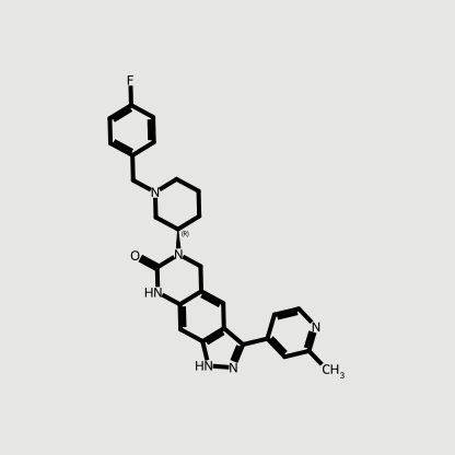 Cc1cc(-c2n[nH]c3cc4c(cc23)CN([C@@H]2CCCN(Cc3ccc(F)cc3)C2)C(=O)N4)ccn1